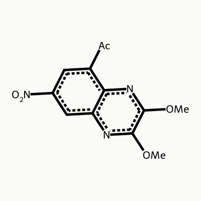 COc1nc2cc([N+](=O)[O-])cc(C(C)=O)c2nc1OC